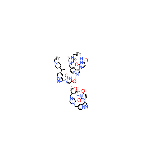 CC(C)CN1CCC(C(C)c2ccn3ncc(-n4ccc(=O)[nH]c4=O)c3c2)CC1.CC(C)CN1[C@H](C)CN(Cc2ccn3ncc(-n4ccc(=O)[nH]c4=O)c3c2)C[C@@H]1C.C[C@@H]1CC(CN2CCN(Cc3ccn4ncc(-n5ccc(=O)[nH]c5=O)c4c3)CC2)C[C@H](C)O1